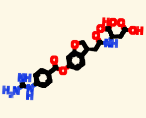 N=C(N)Nc1ccc(C(=O)Oc2ccc3c(c2)OC[C@H]3CC(=O)NC(CC(=O)O)C(=O)O)cc1